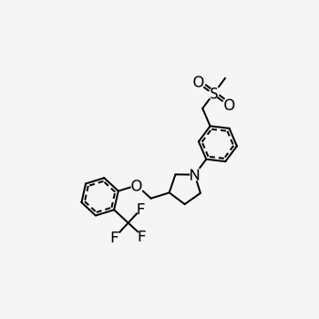 CS(=O)(=O)Cc1cccc(N2CCC(COc3ccccc3C(F)(F)F)C2)c1